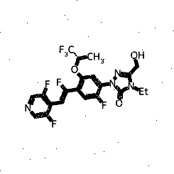 CCn1c(CO)nn(-c2cc(O[C@@H](C)C(F)(F)F)c(/C(F)=C/c3c(F)cncc3F)cc2F)c1=O